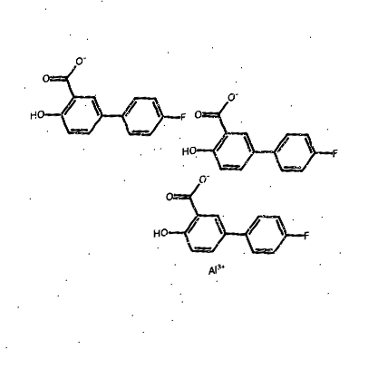 O=C([O-])c1cc(-c2ccc(F)cc2)ccc1O.O=C([O-])c1cc(-c2ccc(F)cc2)ccc1O.O=C([O-])c1cc(-c2ccc(F)cc2)ccc1O.[Al+3]